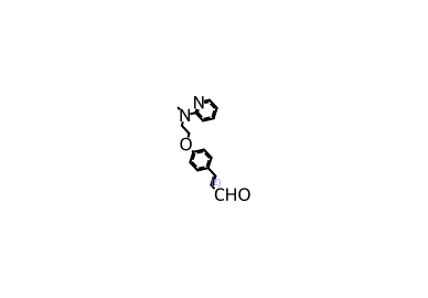 CN(CCOc1ccc(/C=C/C=O)cc1)c1ccccn1